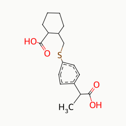 CC(C(=O)O)c1ccc(SCC2CCCCC2C(=O)O)cc1